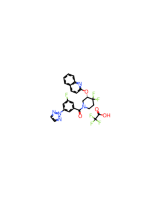 O=C(O)C(F)(F)F.O=C(c1cc(F)cc(-n2nccn2)c1)N1CCC(F)(F)[C@@H](Oc2ccc3ccccc3n2)C1